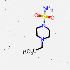 NS(=O)(=O)N1CCN(CC(=O)O)CC1